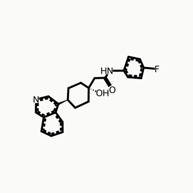 O=C(C[C@]1(O)CC[C@H](c2cncc3ccccc32)CC1)Nc1ccc(F)cc1